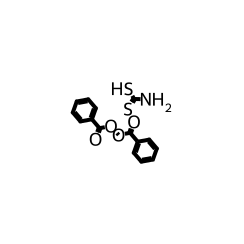 NC(=S)S.O=C(OOC(=O)c1ccccc1)c1ccccc1